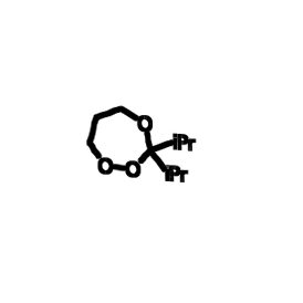 CC(C)C1(C(C)C)OCCCOO1